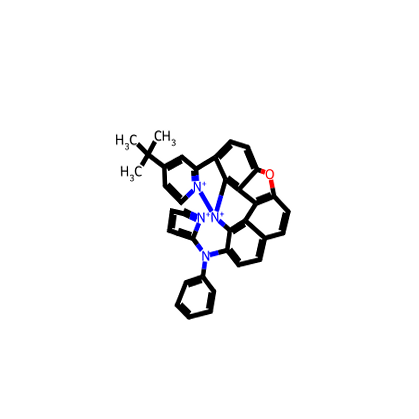 CC(C)(C)c1cc[n+]2c(c1)-c1ccc3oc4ccc5ccc6c7c5c4c3c1[N+]72[n+]1ccccc1N6c1ccccc1